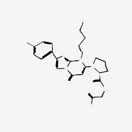 CCCCCn1c(N2CCC[C@H]2C(=O)N[C@H](C)C(N)=O)cc(=O)n2cc(-c3ccc(Cl)cc3)nc12